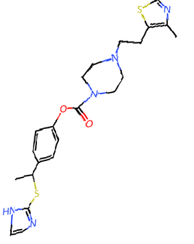 Cc1ncsc1CCN1CCN(C(=O)Oc2ccc(C(C)Sc3ncc[nH]3)cc2)CC1